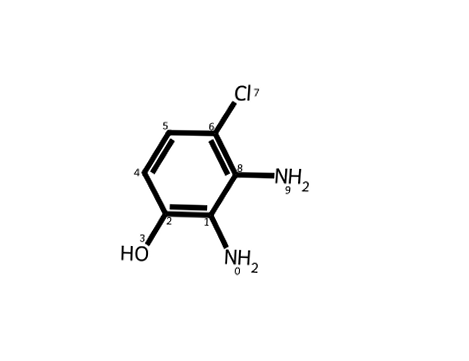 Nc1c(O)ccc(Cl)c1N